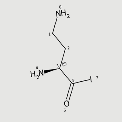 NCC[C@H](N)C(=O)I